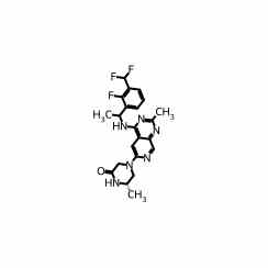 Cc1nc(NC(C)c2cccc(C(F)F)c2F)c2cc(N3CC(=O)N[C@@H](C)C3)ncc2n1